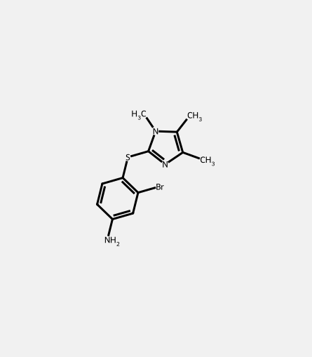 Cc1nc(Sc2ccc(N)cc2Br)n(C)c1C